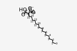 CCCCCCCCCCCCCCCC=C(C(=O)O)[N+](=O)[O-]